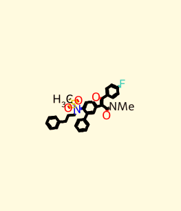 CNC(=O)c1c(-c2ccc(F)cc2)oc2cc(N(CCCc3ccccc3)S(C)(=O)=O)c(-c3ccccc3)cc12